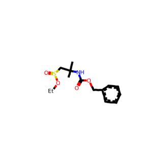 CCOS(=O)CC(C)(C)NC(=O)OCc1ccccc1